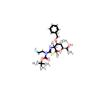 CC(O)[C@H]1O[C@@H]2SC(N(CCF)C(=O)OC(C)(C)C)=N[C@@H]2[C@@H](OCc2ccccc2)[C@@H]1C